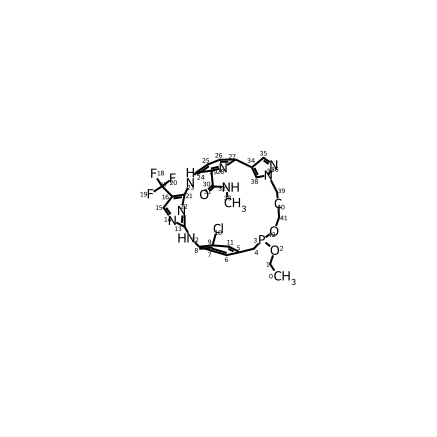 CCOP1Cc2ccc(c(Cl)c2)Nc2ncc(C(F)(F)F)c(n2)Nc2ccc(nc2C(=O)NC)-c2cnn(c2)CCCO1